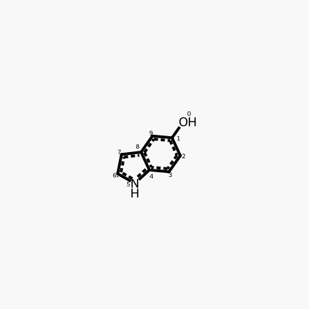 Oc1ccc2[nH][c]cc2c1